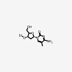 CCO[C@@H]1C[C@H](n2cc(C)c(N)nc2=O)OC1CO